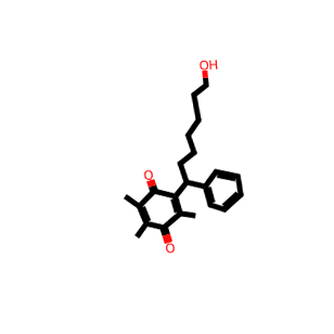 CC1=C(C)C(=O)C(C(CCCCCCO)c2ccccc2)=C(C)C1=O